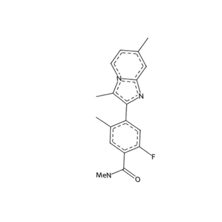 CNC(=O)c1cc(C)c(-c2nc3cc(C)ccn3c2C)cc1F